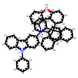 c1ccc(N(c2ccc3c(c2)c2ccccc2n3-c2ccccc2)c2cccc3oc4cccc(C5(c6ccccc6)c6ccccc6-c6ccccc65)c4c23)cc1